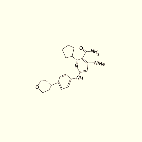 CNc1cc(Nc2ccc(C3CCOCC3)cc2)nc(C2CCCC2)c1C(N)=O